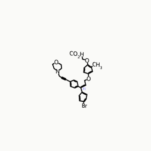 Cc1cc(OC/C=C(/c2ccc(Br)cc2)c2ccc(C#CCN3CCOCC3)cc2)ccc1OCC(=O)O